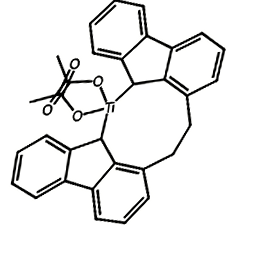 CC(=O)[O][Ti]1([O]C(C)=O)[CH]2c3ccccc3-c3cccc(c32)CCc2cccc3c2[CH]1c1ccccc1-3